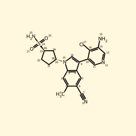 Cc1cc2c(cc1C#N)c(-c1cncc(N)c1Cl)cn2[C@@H]1CC[C@@H](S(N)(=O)=O)C1